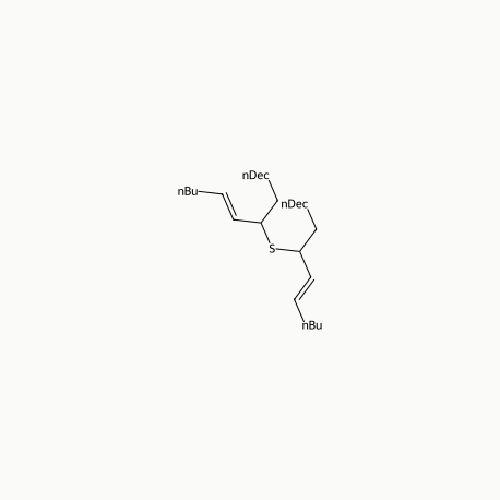 CCCCC=CC(CCCCCCCCCCC)SC(C=CCCCC)CCCCCCCCCCC